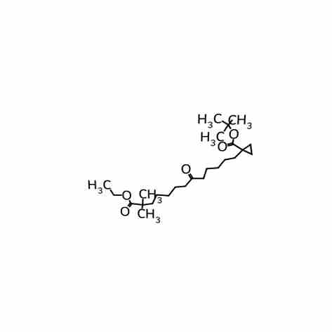 CCOC(=O)C(C)(C)CCCCCC(=O)CCCCCC1(C(=O)OC(C)(C)C)CC1